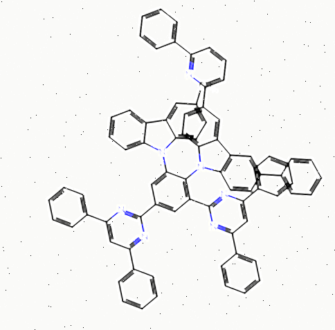 Cc1ccc2c(c1)c1ccccc1n2-c1cc(-c2nc(-c3ccccc3)cc(-c3ccccc3)n2)cc(-c2nc(-c3ccccc3)cc(-c3ccccc3)n2)c1-n1c2ccc(-c3ccccc3)cc2c2cc(-c3cccc(-c4ccccc4)n3)ccc21